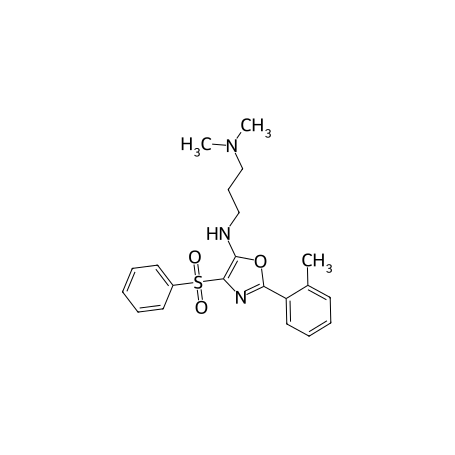 Cc1ccccc1-c1nc(S(=O)(=O)c2ccccc2)c(NCCCN(C)C)o1